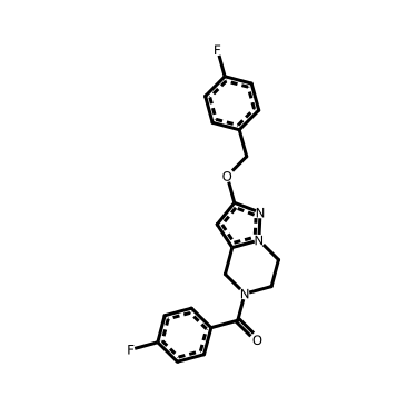 O=C(c1ccc(F)cc1)N1CCn2nc(OCc3ccc(F)cc3)cc2C1